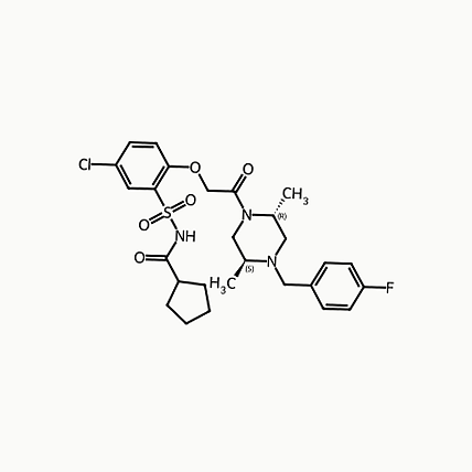 C[C@@H]1CN(Cc2ccc(F)cc2)[C@@H](C)CN1C(=O)COc1ccc(Cl)cc1S(=O)(=O)NC(=O)C1CCCC1